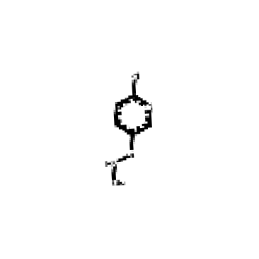 CC(C)(C)NSc1ccc(Cl)nc1